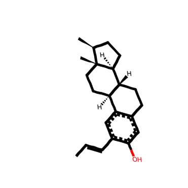 CC=Cc1cc2c(cc1O)CC[C@@H]1[C@@H]2CC[C@]2(C)[C@@H](C)CC[C@@H]12